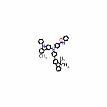 Cc1ccc2c(c1)c1cc(N(c3ccc(-c4ccc5c(c4)C(C)(C)c4ccccc4-5)cc3)c3ccc(-c4nc5ccccc5o4)cc3)ccc1n2-c1ccccc1